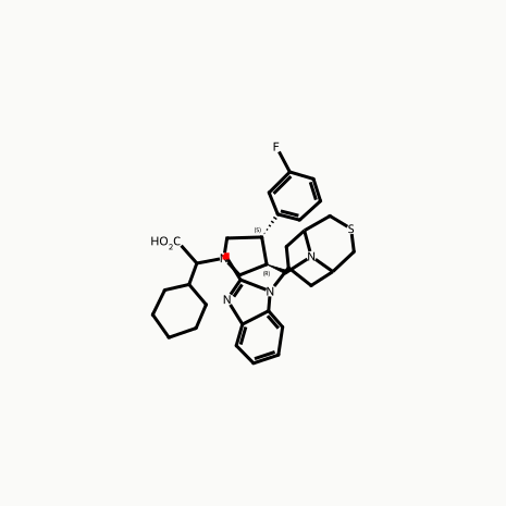 Cc1nc2ccccc2n1C1CC2CSCC(C1)N2C[C@H]1CN(C(C(=O)O)C2CCCCC2)C[C@@H]1c1cccc(F)c1